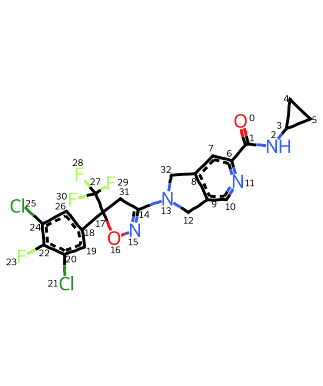 O=C(NC1CC1)c1cc2c(cn1)CN(C1=NOC(c3cc(Cl)c(F)c(Cl)c3)(C(F)(F)F)C1)C2